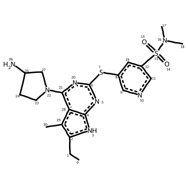 CCc1[nH]c2nc(Sc3cncc(S(=O)(=O)N(C)C)c3)nc(N3CCC(N)C3)c2c1C